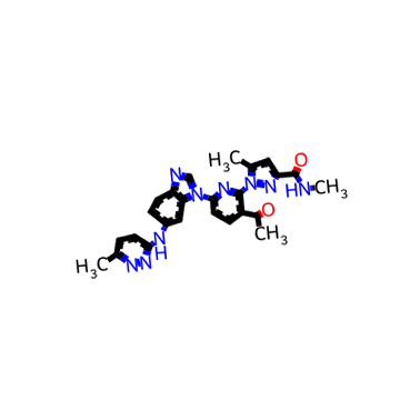 CNC(=O)c1cc(C)n(-c2nc(-n3cnc4ccc(Nc5ccc(C)nn5)cc43)ccc2C(C)=O)n1